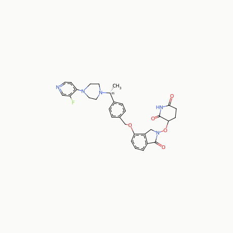 C[C@H](c1ccc(COc2cccc3c2CN(OC2CCC(=O)NC2=O)C3=O)cc1)N1CCN(c2ccncc2F)CC1